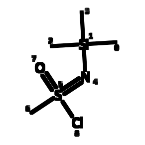 C[Si](C)(C)N=S(C)(=O)Cl